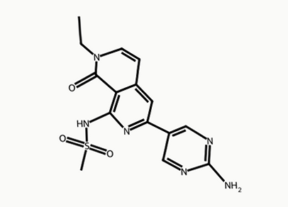 CCn1ccc2cc(-c3cnc(N)nc3)nc(NS(C)(=O)=O)c2c1=O